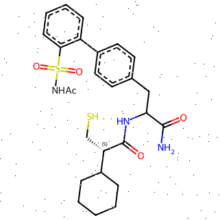 CC(=O)NS(=O)(=O)c1ccccc1-c1ccc(CC(NC(=O)[C@@H](CS)C2CCCCC2)C(N)=O)cc1